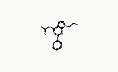 CCCn1ccc2c(OC(C)=O)nc(-c3ccccc3)nc21